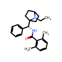 CCN1C2CCC1([C@H](NC(=O)c1c(C)cccc1C)c1ccccc1)CC2